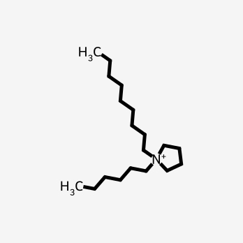 CCCCCCCCC[N+]1(CCCCCC)CCCC1